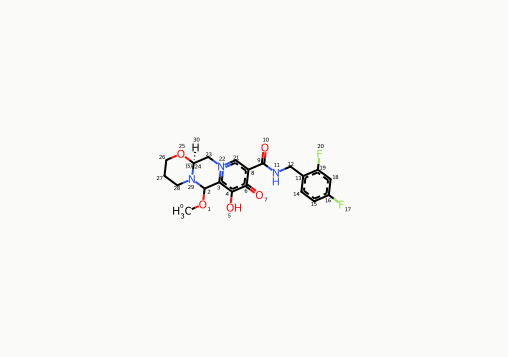 COC1c2c(O)c(=O)c(C(=O)NCc3ccc(F)cc3F)cn2C[C@@H]2OCCCN12